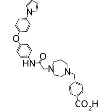 O=C(CN1CCCN(Cc2ccc(C(=O)O)cc2)CC1)Nc1ccc(Oc2ccc(-n3cccc3)cc2)cc1